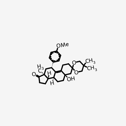 COc1ccc([C@H]2C[C@]3(C)C(=O)CC[C@H]3[C@@H]3CC[C@@]4(O)CC5(CCC4=C32)OCC(C)(C)CO5)cc1